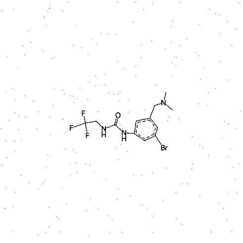 CN(C)Cc1cc(Br)cc(NC(=O)NCC(F)(F)F)c1